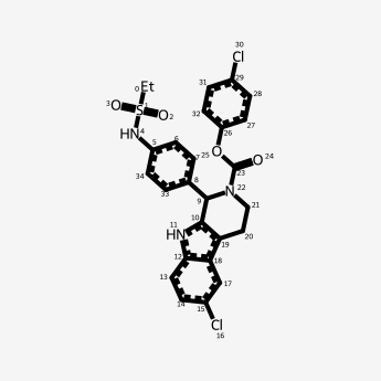 CCS(=O)(=O)Nc1ccc(C2c3[nH]c4ccc(Cl)cc4c3CCN2C(=O)Oc2ccc(Cl)cc2)cc1